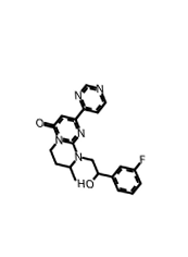 CC1CCn2c(nc(-c3ccncn3)cc2=O)N1CC(O)c1cccc(F)c1